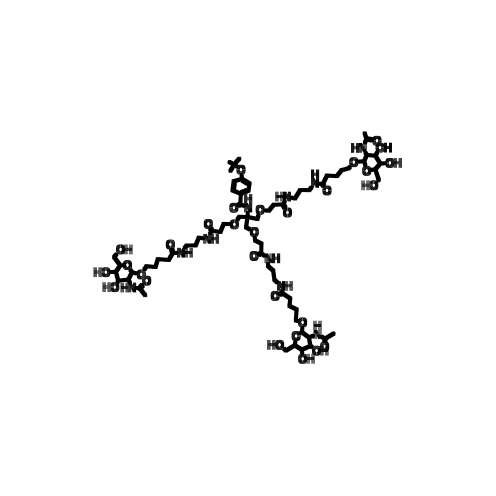 CC(=O)NC1C(OCCCCC(=O)NCCCNC(=O)CCOCC(COCCC(=O)NCCCNC(=O)CCCCOC2OC(CO)C(O)C(O)C2NC(C)=O)(COCCC(=O)NCCCNC(=O)CCCCOC2OC(CO)C(O)C(O)C2NC(C)=O)NC(=O)c2ccc(OC(C)(C)C)cc2)OC(CO)C(O)C1O